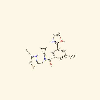 Cc1csc(CN(C(=O)c2cc(C(=O)O)cc(-c3ncco3)c2)C2CC2)n1